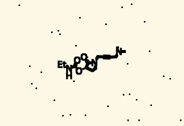 CCNC(=O)O[C@H]1CCN(CC#CCN(C)C)C1=O